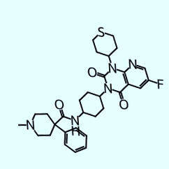 CN1CCC(C(=O)NC2CCC(n3c(=O)c4cc(F)cnc4n(C4CCSCC4)c3=O)CC2)(c2ccccc2)CC1